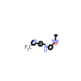 FC(F)(F)c1ccnc(C23CCC(CNc4cccc(-c5nc(C6CC6)no5)c4)(CC2)CC3)c1